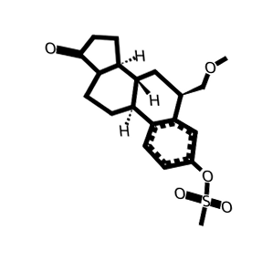 COC[C@@H]1C[C@@H]2[C@H](CCC3C(=O)CC[C@H]32)c2ccc(OS(C)(=O)=O)cc21